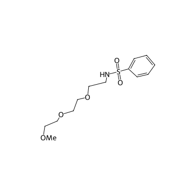 COCCOCCOCCNS(=O)(=O)c1ccccc1